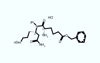 CCCCCCCCCCCCC[C@@H](CC(N)=O)N(C(=O)[C@@H](N)CCCC(=O)OCc1ccccc1)C(C)C.Cl